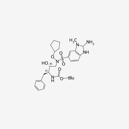 CN1c2cc(S(=O)(=O)N(C[C@@H](O)[C@H](Cc3ccccc3)NC(=O)OC(C)(C)C)OC3CCCC3)ccc2NC1N